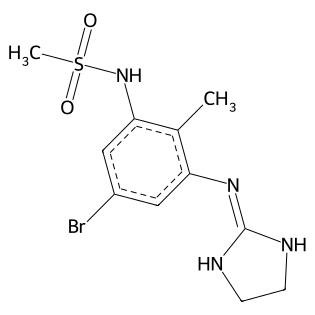 Cc1c(N=C2NCCN2)cc(Br)cc1NS(C)(=O)=O